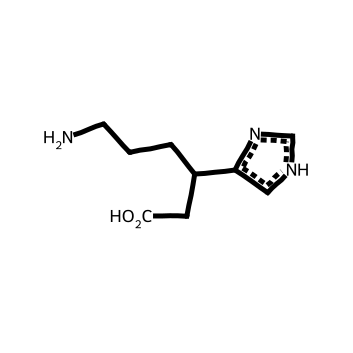 NCCCC(CC(=O)O)c1c[nH]cn1